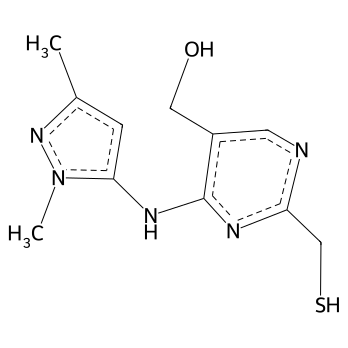 Cc1cc(Nc2nc(CS)ncc2CO)n(C)n1